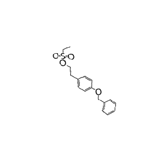 CCS(=O)(=O)OCCc1ccc(OCc2ccccc2)cc1